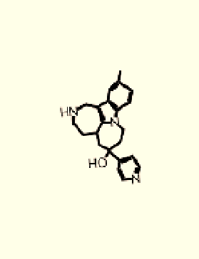 Cc1ccc2c(c1)c1c3n2CCC(O)(c2ccncc2)CC3CCNC1